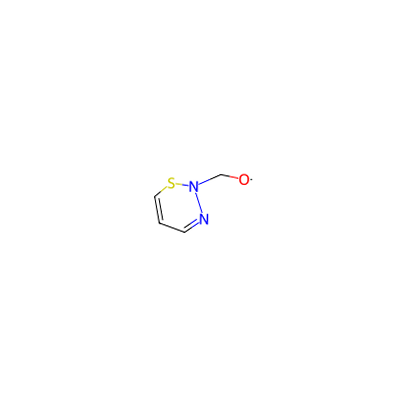 [O]CN1N=CC=CS1